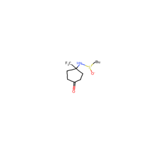 CCC(C)[S+]([O-])NC1(C(F)(F)F)CCC(=O)CC1